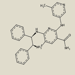 Cc1cncc(Nc2nc(N[C@H](c3ccccc3)[C@@H](N)c3ccccc3)c(F)cc2C(N)=O)c1